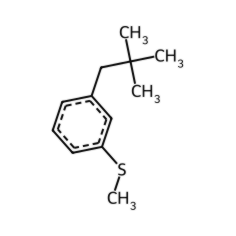 CSc1cccc(CC(C)(C)C)c1